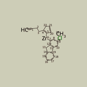 C#CCCC1=[C]([Zr][c]2cccc3c2Cc2ccccc2-3)C=CC1.CCl